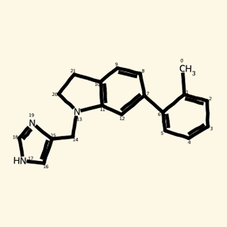 Cc1ccccc1-c1ccc2c(c1)N(Cc1c[nH]cn1)CC2